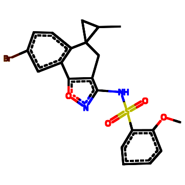 COc1ccccc1S(=O)(=O)Nc1noc2c1CC1(CC1C)c1ccc(Br)cc1-2